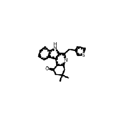 CC1(C)CC(=O)c2c(nc(Cc3ccsc3)c3[nH]c4ccccc4c23)C1